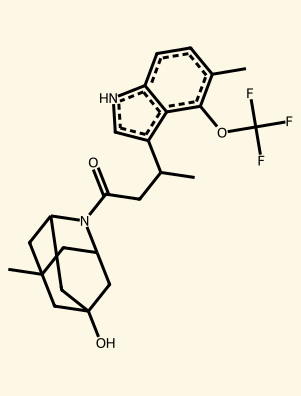 Cc1ccc2[nH]cc(C(C)CC(=O)N3C4CC5(C)CC3CC(O)(C4)C5)c2c1OC(F)(F)F